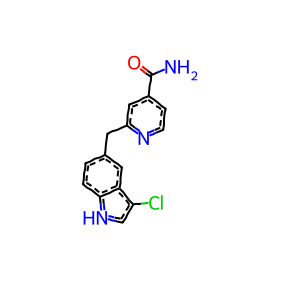 NC(=O)c1ccnc(Cc2ccc3[nH]cc(Cl)c3c2)c1